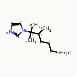 CCCCCCCCCCC(C)C(C)(C)n1ccnc1